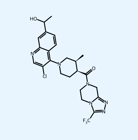 CC(O)c1ccc2c(N3CC[C@H](C(=O)N4CCn5c(nnc5C(F)(F)F)C4)[C@H](C)C3)c(Cl)cnc2c1